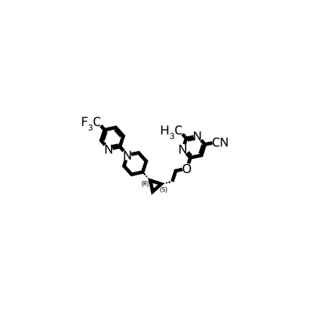 Cc1nc(C#N)cc(OCC[C@@H]2C[C@@H]2C2CCN(c3ccc(C(F)(F)F)cn3)CC2)n1